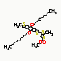 CCCCCCCCCCCCOc1c2cc3cc(-c4sc(C)c5sc(C(=O)OCC)cc45)sc3cc2c(OCCCCCCCCCCCC)c2cc3cc(C)sc3cc12